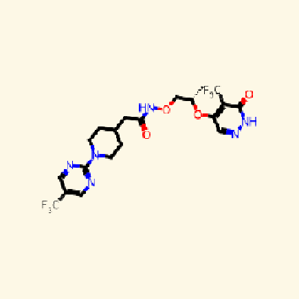 C[C@@H](CONC(=O)CC1CCN(c2ncc(C(F)(F)F)cn2)CC1)Oc1cn[nH]c(=O)c1C(F)(F)F